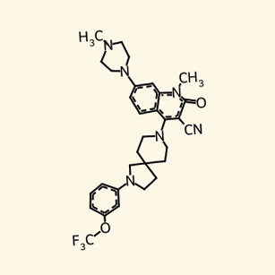 CN1CCN(c2ccc3c(N4CCC5(CCN(c6cccc(OC(F)(F)F)c6)C5)CC4)c(C#N)c(=O)n(C)c3c2)CC1